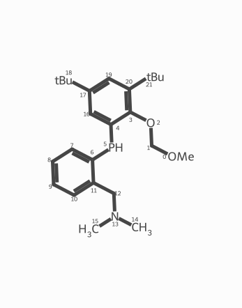 COCOc1c(Pc2ccccc2CN(C)C)cc(C(C)(C)C)cc1C(C)(C)C